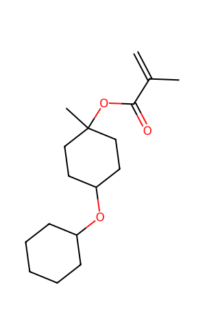 C=C(C)C(=O)OC1(C)CCC(OC2CCCCC2)CC1